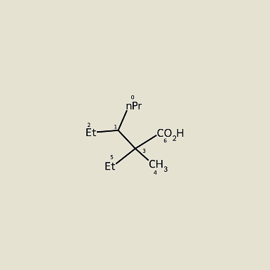 CCCC(CC)C(C)(CC)C(=O)O